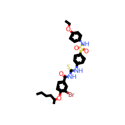 CCCCC(C)Oc1ccc(C(=O)NC(=S)Nc2ccc(S(=O)(=O)Nc3ccc(OCC)cc3)cc2)cc1Br